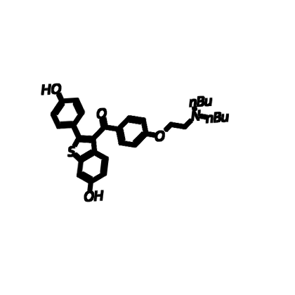 CCCCN(CCCC)CCOc1ccc(C(=O)c2c(-c3ccc(O)cc3)sc3cc(O)ccc23)cc1